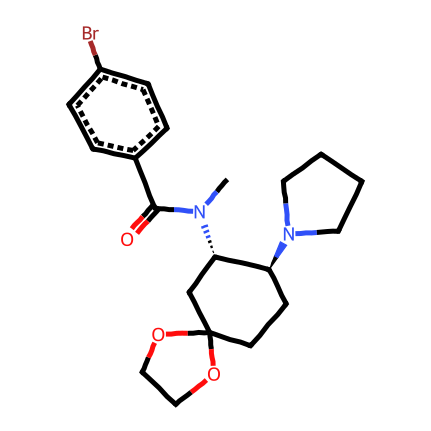 CN(C(=O)c1ccc(Br)cc1)[C@H]1CC2(CC[C@@H]1N1CCCC1)OCCO2